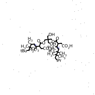 C/C(=C\C(C)C(C)(C)CC(C)(C)C)C(CC(=O)O)C(=O)OCC(CO)(CO)COC(=O)C(CC(=O)O)/C(C)=C/C(C)(C)C(C)(C)CC(C)C